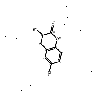 CC(C)C1Cc2cc(Cl)ccc2OC1=O